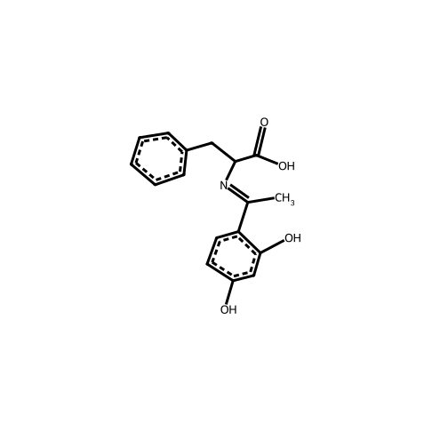 C/C(=N\C(Cc1ccccc1)C(=O)O)c1ccc(O)cc1O